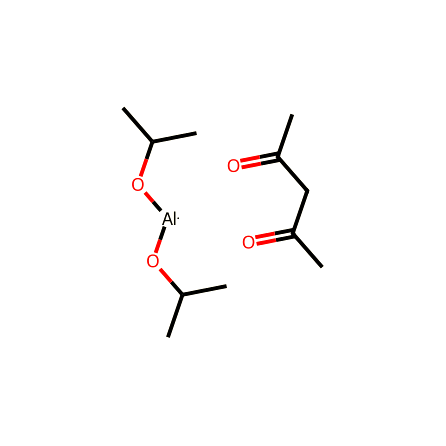 CC(=O)CC(C)=O.CC(C)[O][Al][O]C(C)C